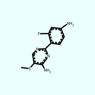 CSc1cnc(-c2ccc(N)cc2F)nc1N